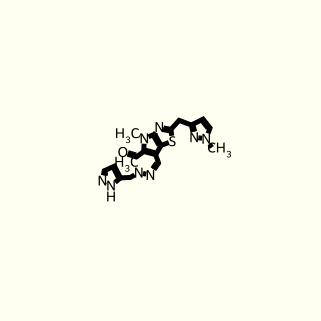 CN(Cc1ccn[nH]1)/N=C\c1c(C=O)n(C)c2nc(Cc3ccn(C)n3)sc12